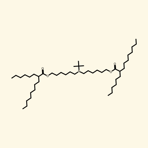 CCCCCCCCC(CCCCCC)C(=O)OCCCCCCN(CCCCCCOC(=O)C(CCCCCC)CCCCCCCC)C(C)(C)C